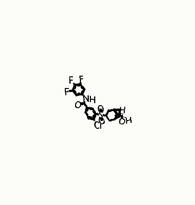 C[C@H]1CC2CC(S(=O)(=O)c3cc(C(=O)Nc4cc(F)c(F)c(F)c4)ccc3Cl)CC1[C@@H]2CO